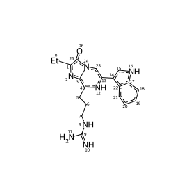 CCc1nc2c(CCCNC(=N)N)[nH]c(-c3c[nH]c4ccccc34)cn-2c1=O